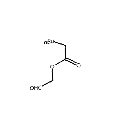 CCCCCC(=O)OCC=O